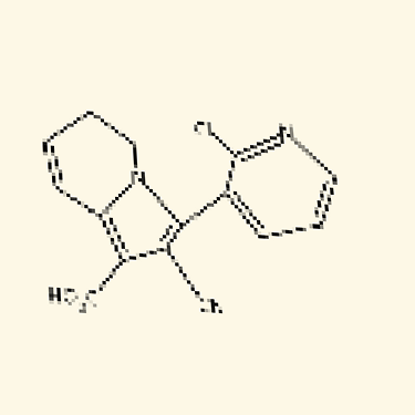 N#Cc1c(C(=O)O)c2n(c1-c1cccnc1Cl)CCC=C2